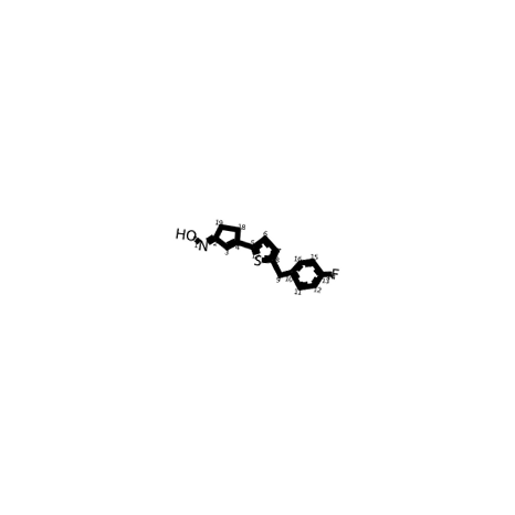 ON=C1C=C(c2ccc(Cc3ccc(F)cc3)s2)CC1